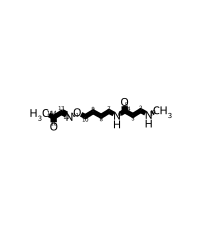 CNCCC(=O)NCCCCON=CC(C)=O